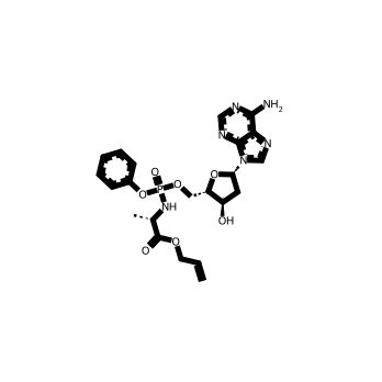 C=CCOC(=O)[C@H](C)NP(=O)(OC[C@@H]1O[C@H](n2cnc3c(N)ncnc32)C[C@H]1O)Oc1ccccc1